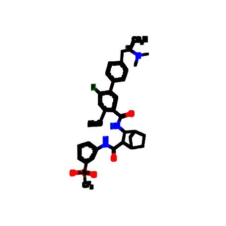 COc1cc(F)c(-c2ccc(C[C@@H](C(=O)O)N(C)C)cc2)cc1C(=O)NC1C2CCC(C2)C1C(=O)Nc1cccc(S(=O)(=O)C(F)(F)F)c1